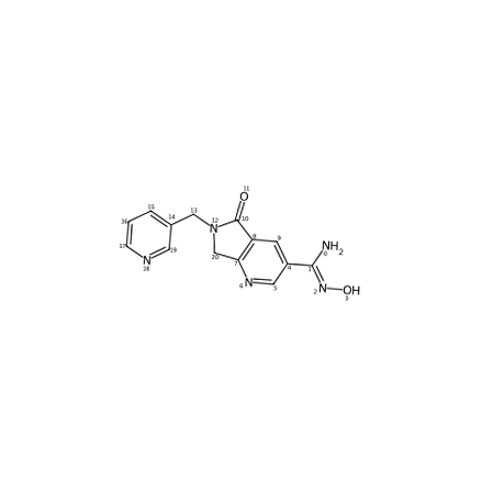 N/C(=N\O)c1cnc2c(c1)C(=O)N(Cc1cccnc1)C2